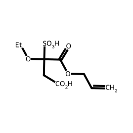 C=CCOC(=O)C(CC(=O)O)(OCC)S(=O)(=O)O